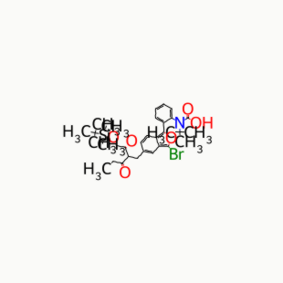 CCC(=O)C(Cc1ccc2c(-c3ccccc3N(C(=O)O)C(C)(C)C)oc(Br)c2c1)C(=O)CO[Si](C)(C)C(C)(C)C